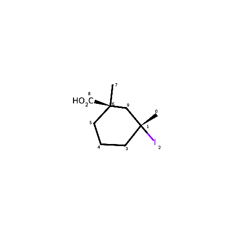 C[C@@]1(I)CCC[C@@](C)(C(=O)O)C1